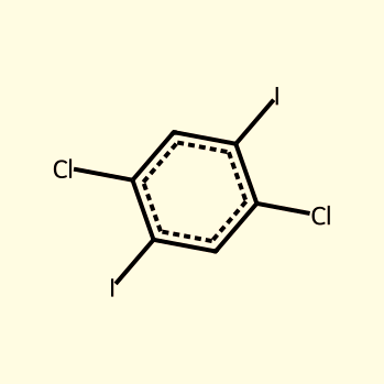 Clc1cc(I)c(Cl)cc1I